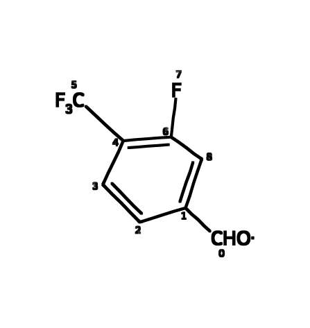 O=[C]c1ccc(C(F)(F)F)c(F)c1